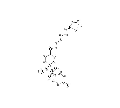 CN(C1CCC(OCCCCCCN2CCCC2)CC1)S(=O)(=O)c1ccc(Br)cc1